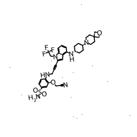 N#CCOc1cc(S(N)(=O)=O)ccc1NCC#Cc1cc2c(N[C@H]3CC[C@H](N4CCC5(CC4)COC5)CC3)cccc2n1CC(F)(F)F